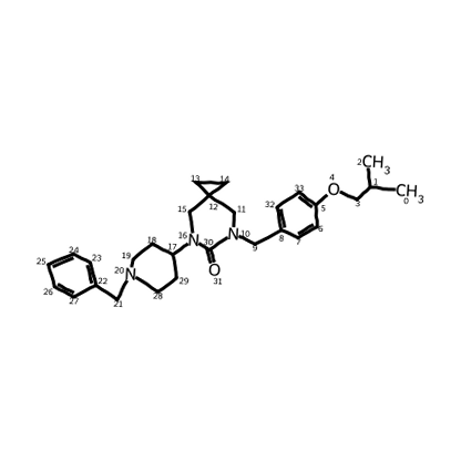 CC(C)COc1ccc(CN2CC3(CC3)CN(C3CCN(Cc4ccccc4)CC3)C2=O)cc1